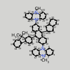 CN1c2ccccc2N(c2ccc3c(-c4ccc5ccccc5c4)c4cc(N5c6ccccc6N(C)c6ccccc65)ccc4c(-c4ccc5c(c4)C(C)(C)c4ccccc4-5)c3c2)c2ccccc21